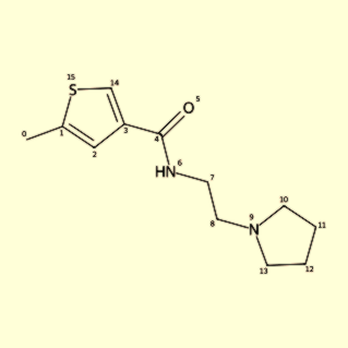 Cc1cc(C(=O)NCCN2CCCC2)cs1